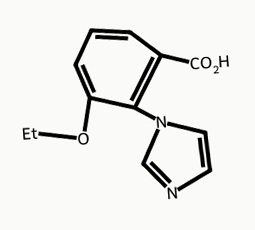 CCOc1cccc(C(=O)O)c1-n1ccnc1